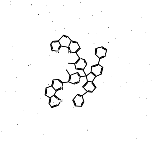 Cc1cc(C2(c3ccc(-c4ccc5ccc6cccnc6c5n4)c(C)c3)c3cc(-c4ccccc4)ccc3-c3ccc(-c4ccccc4)cc32)ccc1-c1ccc2ccc3cccnc3c2n1